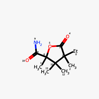 CCC1(C)C(=O)OC(C)(C(N)=O)C1(C)C